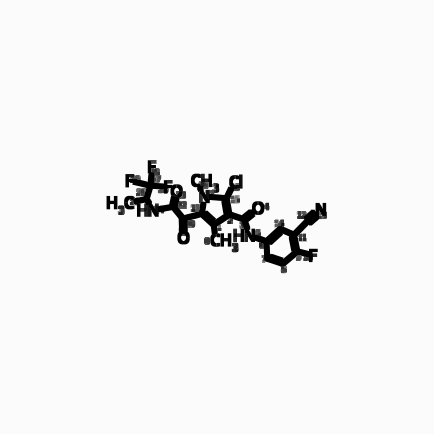 Cc1c(C(=O)Nc2ccc(F)c(C#N)c2)c(Cl)n(C)c1C(=O)C(=O)NC(C)C(F)(F)F